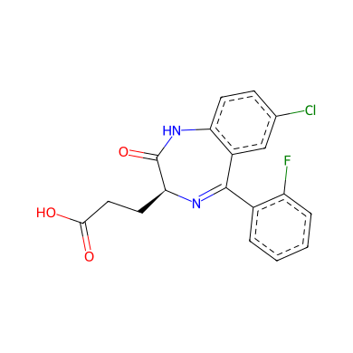 O=C(O)CC[C@@H]1N=C(c2ccccc2F)c2cc(Cl)ccc2NC1=O